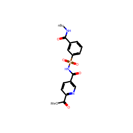 CCCCNC(=O)c1cccc(S(=O)(=O)NC(=O)c2ccc(C(=O)OC)nc2)c1